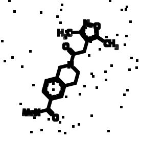 CNC(=O)c1ccc2c(c1)CCN(C(=O)Cc1c(C)noc1C)C2